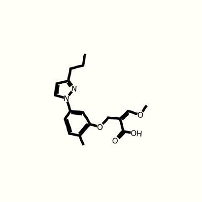 CCCc1ccn(-c2ccc(C)c(OC/C(=C/OC)C(=O)O)c2)n1